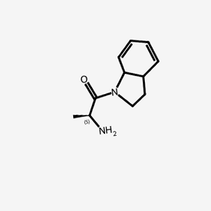 C[C@H](N)C(=O)N1CCC2C=CC=CC21